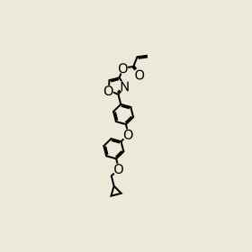 C=CC(=O)Oc1coc(-c2ccc(Oc3cccc(OCC4CC4)c3)cc2)n1